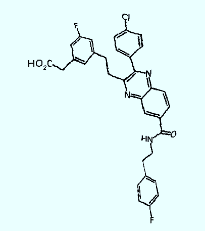 O=C(O)Cc1cc(F)cc(CCc2nc3cc(C(=O)NCCc4ccc(F)cc4)ccc3nc2-c2ccc(Cl)cc2)c1